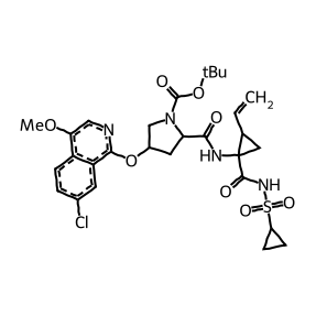 C=CC1CC1(NC(=O)C1CC(Oc2ncc(OC)c3ccc(Cl)cc23)CN1C(=O)OC(C)(C)C)C(=O)NS(=O)(=O)C1CC1